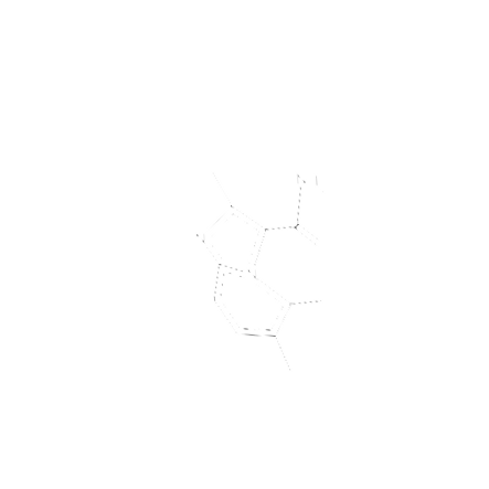 Cc1ccc2nc(C)c(C(N)=O)n2c1C